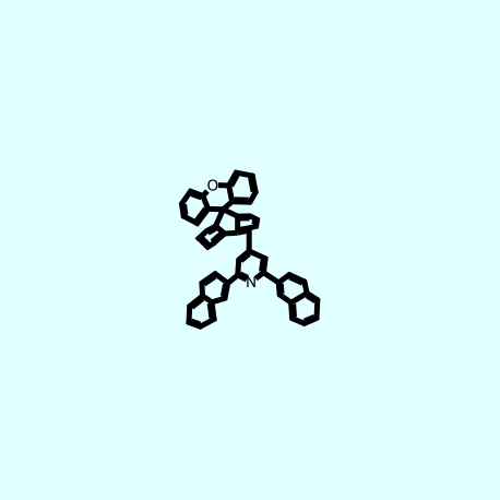 c1ccc2c(c1)Oc1ccccc1C21c2ccccc2-c2c(-c3cc(-c4ccc5ccccc5c4)nc(-c4ccc5ccccc5c4)c3)cccc21